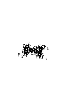 Cc1cc(N(c2c(F)c(F)cc(F)c2F)c2c(F)c(F)c(C(F)(F)F)c(F)c2F)ccc1-c1ccc(N(c2c(F)c(F)c(C(F)(F)F)c(F)c2F)c2c(F)c(F)c(C(F)(F)F)c(F)c2F)cc1C